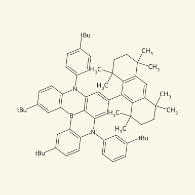 CC(C)(C)c1ccc(N2c3ccc(C(C)(C)C)cc3B3c4cc(C(C)(C)C)ccc4N(c4cccc(C(C)(C)C)c4)c4cc(-c5c6c(cc7c5C(C)(C)CCC7(C)C)C(C)(C)CCC6(C)C)cc2c43)cc1